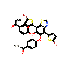 COC(=O)c1ccc(Oc2c(Oc3ccc(C(=O)OC)cc3)c(-c3ccc(Br)s3)c3scnc3c2-c2ccc(Br)s2)cc1